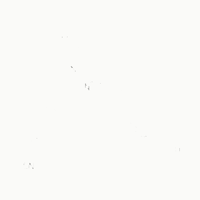 N#Cc1ccc(Cn2nc(-c3ccc(Br)cc3)ccc2=O)cc1